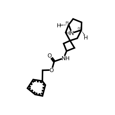 O=C(NC1CC2(C1)C[C@H]1CC[C@@H](C2)N1)OCc1ccccc1